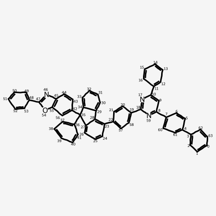 c1ccc(-c2ccc(-c3cc(-c4ccccc4)nc(-c4ccc(-c5cccc6c5-c5ccccc5C6(c5ccccc5)c5ccc6nc(-c7ccccc7)oc6c5)cc4)n3)cc2)cc1